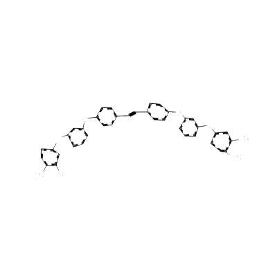 [C-]#[N+]c1ccc(Oc2cccc(Oc3ccc(C#Cc4ccc(Oc5cccc(Oc6ccc(C#N)c(C#N)c6)c5)cc4)cc3)c2)cc1[N+]#[C-]